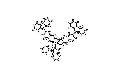 c1ccc(-n2c3ccccc3c3cc4c5cc6ccc(-n7c8ccccc8c8ccccc87)cc6cc5n5c6cc7cc(-n8c9ccccc9c9ccccc98)ccc7cc6c(c32)c45)cc1